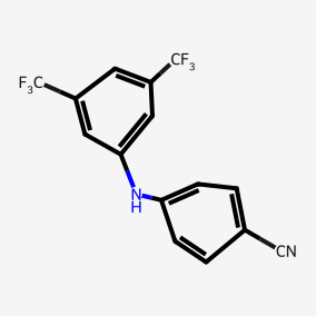 N#Cc1ccc(Nc2cc(C(F)(F)F)cc(C(F)(F)F)c2)cc1